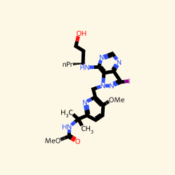 CCC[C@@H](CCO)Nc1n[c]nc2c(I)nn(Cc3nc(C(C)(C)NC(=O)OC)ccc3OC)c12